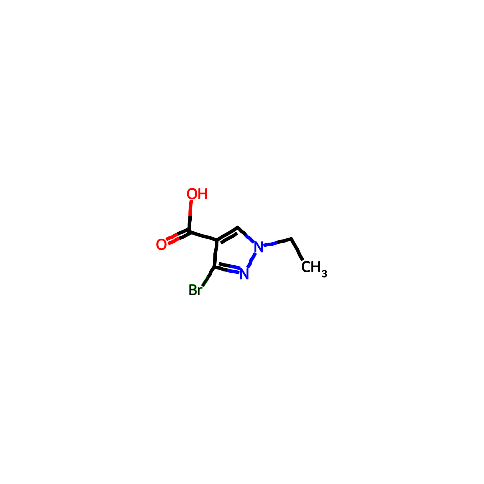 CCn1cc(C(=O)O)c(Br)n1